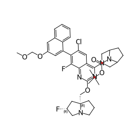 COCOc1cc(-c2c(Cl)cc3c(N4CC5CCC(C4)N5C(=O)OC(C)(C)C)nc(OC[C@]45CCCN4C[C@H](F)C5)nc3c2F)c2ccccc2c1